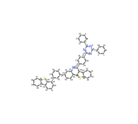 c1ccc(-c2nc(-c3ccccc3)nc(-c3ccc(-c4nc5cc(-c6cccc(-c7cccc8c7sc7ccccc78)c6)ccc5c5sc6ccccc6c45)cc3)n2)cc1